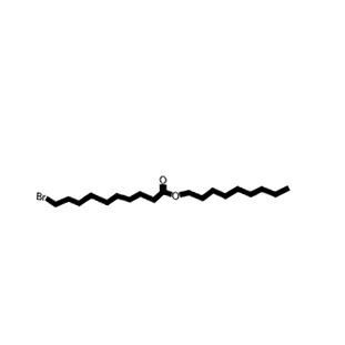 CCCCCCCCCOC(=O)CCCCCCCCCBr